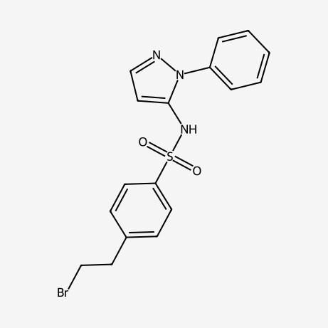 O=S(=O)(Nc1ccnn1-c1ccccc1)c1ccc(CCBr)cc1